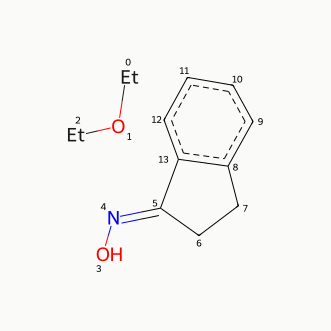 CCOCC.O/N=C1\CCc2ccccc21